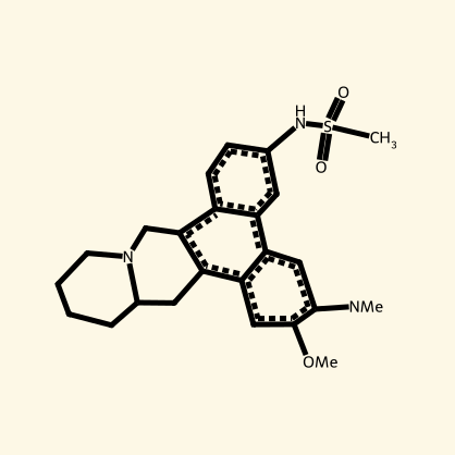 CNc1cc2c(cc1OC)c1c(c3ccc(NS(C)(=O)=O)cc32)CN2CCCCC2C1